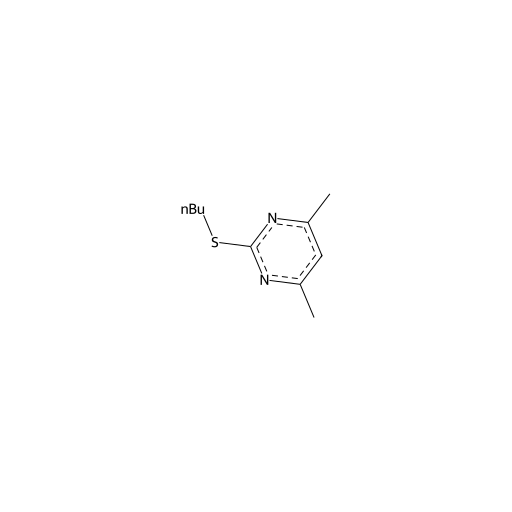 CCCCSc1nc(C)cc(C)n1